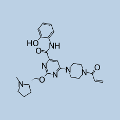 C=CC(=O)N1CCN(c2cc(C(=O)Nc3ccccc3O)nc(OC[C@@H]3CCCN3C)n2)CC1